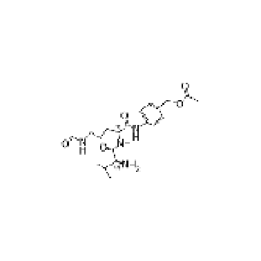 CC(=O)OCc1ccc(NC(=O)[C@H](CCCNC=O)NC(=O)[C@@H](N)C(C)C)cc1